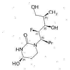 CC(C)[C@H]([C@@H](F)[C@H](O)[C@H](C)CO)N1CC[C@@H](O)NC1=O